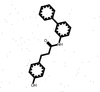 O=C(CCc1ccc(O)cc1)Nc1cccc(-c2ccccc2)c1